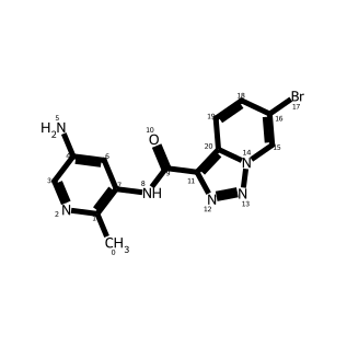 Cc1ncc(N)cc1NC(=O)c1nnn2cc(Br)ccc12